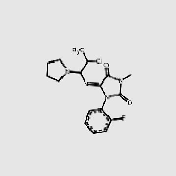 CN1C(=O)C(=NC(C(Cl)C(Cl)(Cl)Cl)N2CCCC2)N(c2ccccc2F)C1=O